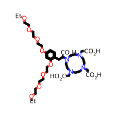 CCOCCOCCOCCOc1ccc(C[C@@H](C(=O)O)N2CCN(CC(=O)O)CCN(CC(=O)O)CCN(CC(=O)O)CC2)c(OCCOCCOCCOCC)c1